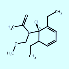 CCC1=CC=CC(CC)[C@]1(Cl)N(COC)C(C)=O